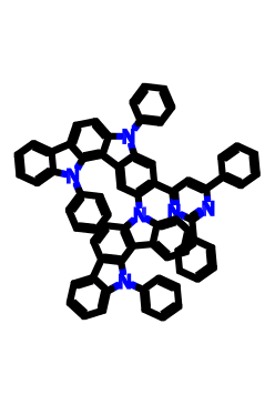 C1=CCC=C(c2nc(-c3ccccc3)cc(-c3cc4c(cc3-n3c5ccccc5c5c3ccc3c6ccccc6n(-c6ccccc6)c35)c3c(ccc5c6ccccc6n(-c6ccccc6)c53)n4-c3ccccc3)n2)C=1